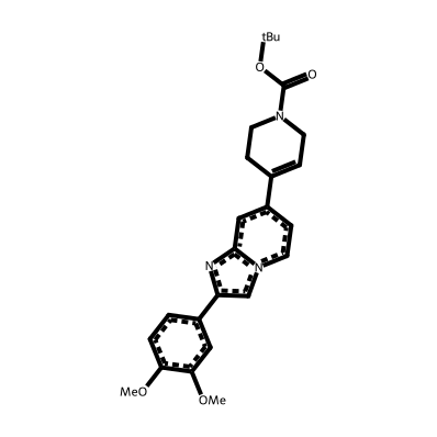 COc1ccc(-c2cn3ccc(C4=CCN(C(=O)OC(C)(C)C)CC4)cc3n2)cc1OC